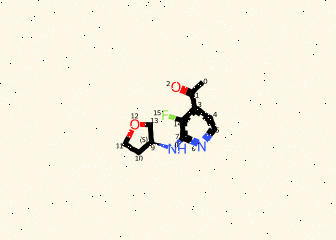 [CH2]C(=O)c1ccnc(N[C@H]2CCOC2)c1F